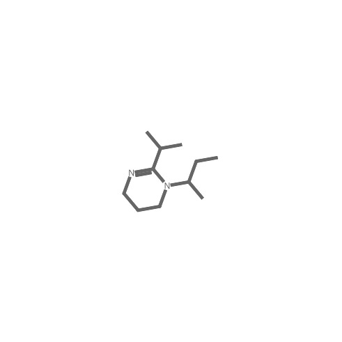 CCC(C)N1CCCN=C1C(C)C